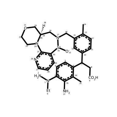 CCN(N)c1ccc(C(CC(=O)O)c2ccc(C)c(CN3C[C@@H]4COCCN4c4ncccc4[S+]3[O-])c2)c(C)c1N